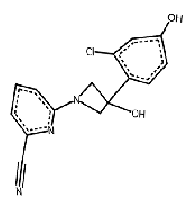 N#Cc1cccc(N2CC(O)(c3ccc(O)cc3Cl)C2)n1